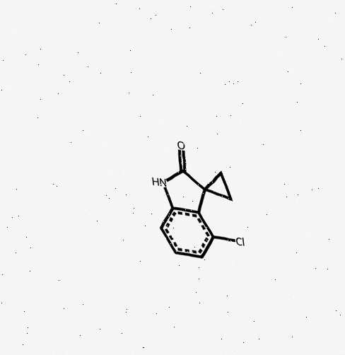 O=C1Nc2cccc(Cl)c2C12CC2